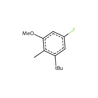 COc1cc(F)cc(C(C)(C)C)c1C